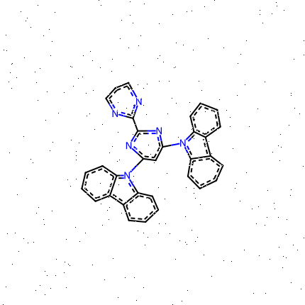 c1cnc(-c2nc(-n3c4ccccc4c4ccccc43)cc(-n3c4ccccc4c4ccccc43)n2)nc1